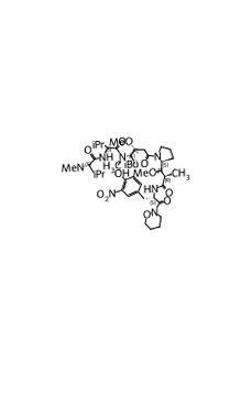 CC[C@H](C)[C@@H]([C@@H](CC(=O)N1CCC[C@H]1[C@H](OC)[C@@H](C)C(=O)N[C@@H](Cc1ccc(O)c([N+](=O)[O-])c1)C(=O)N1CCCCO1)OC)N(C)C(=O)[C@@H](NC(=O)[C@@H](NC)C(C)C)C(C)C